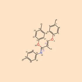 CC(=C\Oc1ccc(C)cc1)/C(=N/c1ccc(C)cc1)Oc1ccc(C)cc1